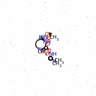 CN1CCCC/C=C\[C@@H]2C[C@@]2(C(=O)NS(=O)(=O)C2(C)CC2)NC(=O)C2C[C@@H](OC(=O)Nc3cccc(N(C)C)c3)C[C@H]2C1=O